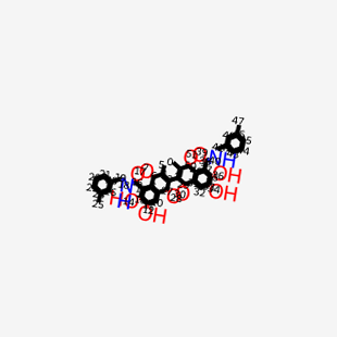 CC1=C(C2=C(C)C(=O)c3c(cc(O)c(O)c3C(=O)NCc3cccc(C)c3)C2=O)C(=O)c2cc(O)c(O)c(C(=O)NCc3cccc(C)c3)c2C1=O